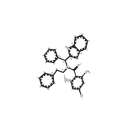 Cc1cc(Cl)ccc1C(=O)N(C(c1ccccc1)c1cc2ccccc2o1)[C@@H](Cc1ccccc1)C(=O)O